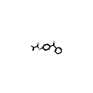 C=C(C)C(=O)Oc1ccc(C(=O)C2=CCCC=C2)cc1